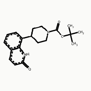 CC(C)(C)OC(=O)N1CCC(c2cccc3ccc(=O)[nH]c23)CC1